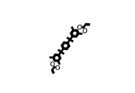 C=CC(=O)Oc1c(C)cc(C(C)(C)c2ccc(C(C)(C)c3cc(C)c(OC(=O)C=C)c(C)c3)cc2)cc1C